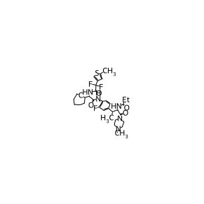 CCC(=O)N[C@@H](C(=O)N1CCN(C)CC1)[C@@H](C)c1ccc(NC(=O)[C@@H](NC(=O)C(F)(F)c2csc(C)c2)C2CCCCCC2)c(F)c1